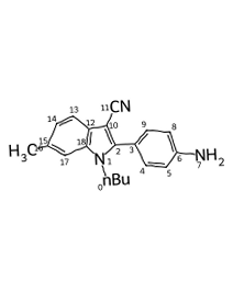 CCCCn1c(-c2ccc(N)cc2)c(C#N)c2ccc(C)cc21